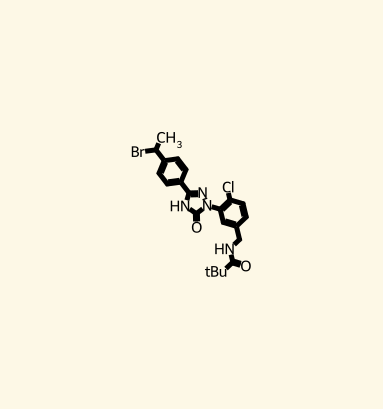 CC(Br)c1ccc(-c2nn(-c3cc(CNC(=O)C(C)(C)C)ccc3Cl)c(=O)[nH]2)cc1